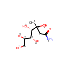 NC(=O)C[C@](O)(C=O)[C@@H](O)[C@H](O)[C@H](O)CO